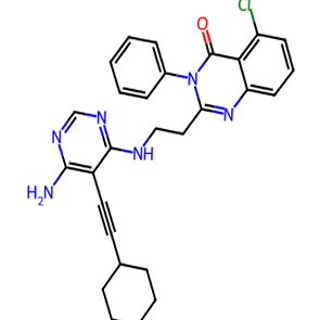 Nc1ncnc(NCCc2nc3cccc(Cl)c3c(=O)n2-c2ccccc2)c1C#CC1CCCCC1